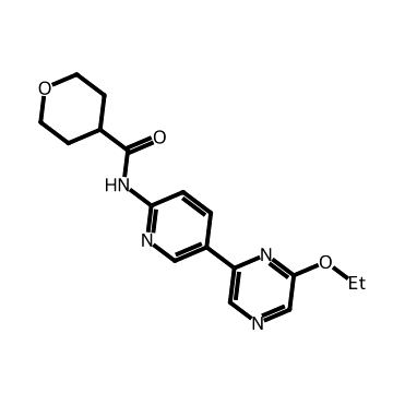 CCOc1cncc(-c2ccc(NC(=O)C3CCOCC3)nc2)n1